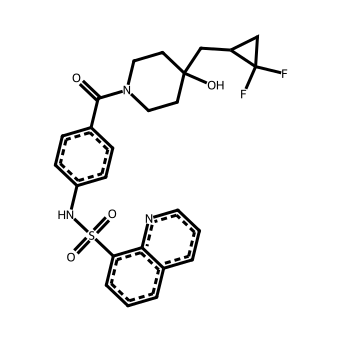 O=C(c1ccc(NS(=O)(=O)c2cccc3cccnc23)cc1)N1CCC(O)(CC2CC2(F)F)CC1